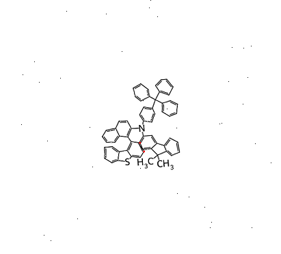 CC1(C)c2ccccc2-c2cc(N(c3ccc(C(c4ccccc4)(c4ccccc4)c4ccccc4)cc3)c3ccc4ccccc4c3-c3cccc4sc5ccccc5c34)ccc21